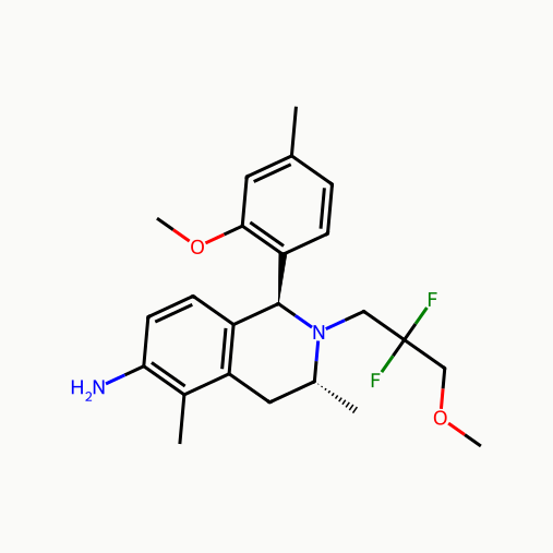 COCC(F)(F)CN1[C@H](c2ccc(C)cc2OC)c2ccc(N)c(C)c2C[C@H]1C